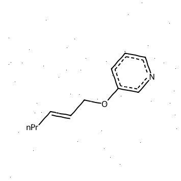 CCC/C=C/COc1c[c]cnc1